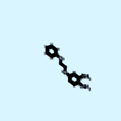 Nc1ccc(OCCOc2ccccc2)cc1N